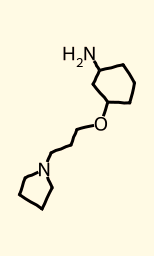 NC1CCCC(OCCCN2CCCC2)C1